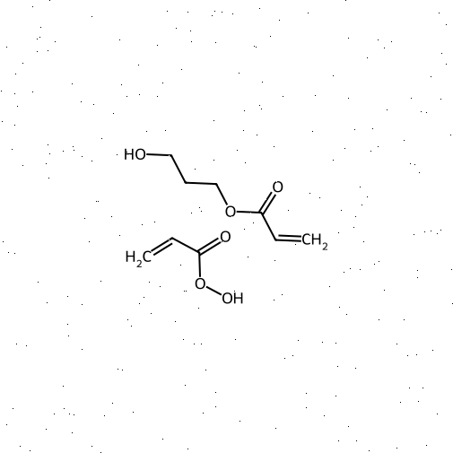 C=CC(=O)OCCCO.C=CC(=O)OO